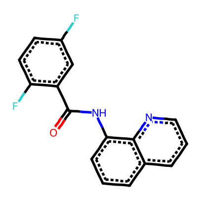 O=C(Nc1cccc2cccnc12)c1cc(F)ccc1F